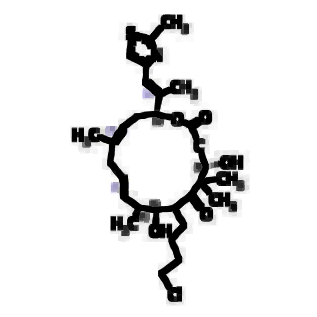 C/C1=C/C[C@@H](/C(C)=C/c2csc(C)n2)OC(=O)C[C@H](O)C(C)(C)C(=O)C(CCCCCl)[C@@H](O)[C@@H](C)/C=C/C1